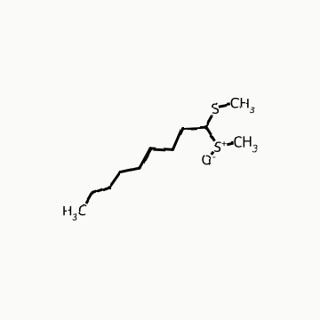 CCCCCCCCC(SC)[S+](C)[O-]